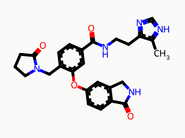 Cc1[nH]cnc1CCNC(=O)c1ccc(CN2CCCC2=O)c(Oc2ccc3c(c2)CNC3=O)c1